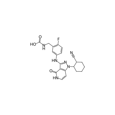 N#CC1CCCCC1n1nc(Nc2ccc(F)c(CNC(=O)O)c2)c2c(=O)[nH]ccc21